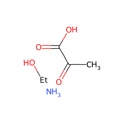 CC(=O)C(=O)O.CCO.N